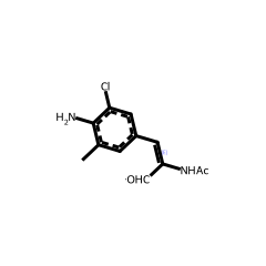 CC(=O)N/C([C]=O)=C/c1cc(C)c(N)c(Cl)c1